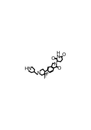 O=C1CCC(N2Cc3cc(C4CCN(CC5CCNCC5)CC4(F)F)ccc3C2=O)C(=O)N1